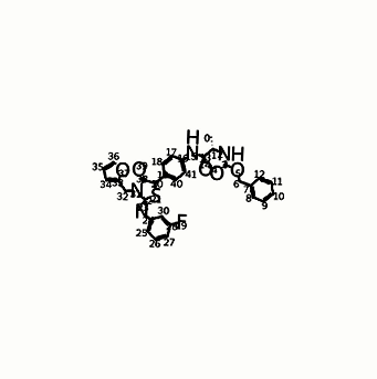 C[C@H](NC(=O)OCc1ccccc1)C(=O)Nc1ccc(C2S/C(=N\c3cccc(F)c3)N(Cc3ccco3)C2=O)cc1